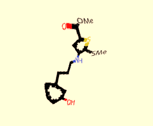 COC(=O)c1cc(NCCCc2cccc(O)c2)c(SC)s1